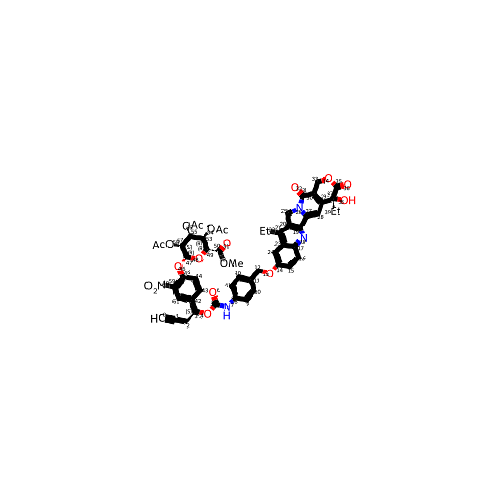 C#CC[C@H](OC(=O)Nc1ccc(COc2ccc3nc4c(c(CC)c3c2)Cn2c-4cc3c(c2=O)COC(=O)[C@]3(O)CC)cc1)c1ccc(O[C@H]2O[C@@H](C(=O)OC)[C@H](OC(C)=O)[C@@H](OC(C)=O)[C@@H]2OC(C)=O)c([N+](=O)[O-])c1